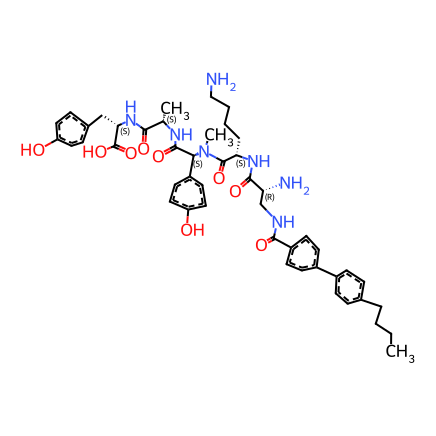 CCCCc1ccc(-c2ccc(C(=O)NC[C@@H](N)C(=O)N[C@@H](CCCCN)C(=O)N(C)[C@H](C(=O)N[C@@H](C)C(=O)N[C@@H](Cc3ccc(O)cc3)C(=O)O)c3ccc(O)cc3)cc2)cc1